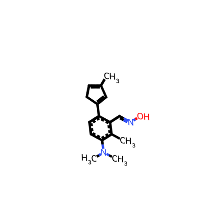 CC1=CCC(c2ccc(N(C)C)c(C)c2C=NO)=C1